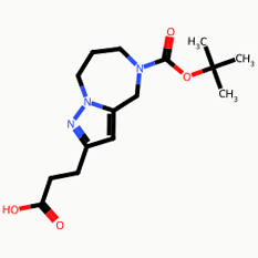 CC(C)(C)OC(=O)N1CCCn2nc(CCC(=O)O)cc2C1